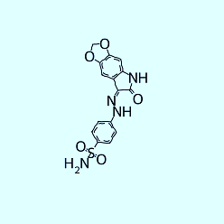 NS(=O)(=O)c1ccc(NN=C2C(=O)Nc3cc4c(cc32)OCO4)cc1